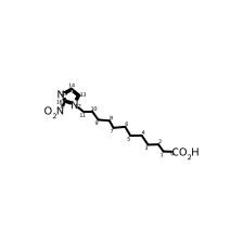 O=C(O)CCCCCCCCCCCn1ccnc1[N+](=O)[O-]